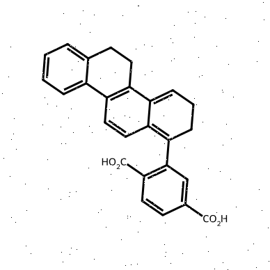 O=C(O)c1ccc(C(=O)O)c(C2=c3ccc4c(c3=CCC2)CCc2ccccc2-4)c1